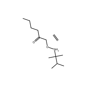 C=C.CCCCC(=O)CO[SiH2]C(C)(C)C(C)C